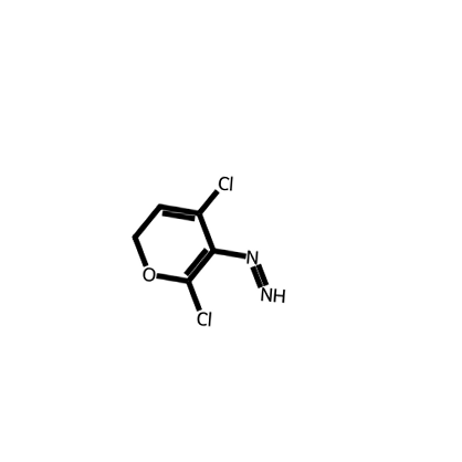 N=NC1=C(Cl)OCC=C1Cl